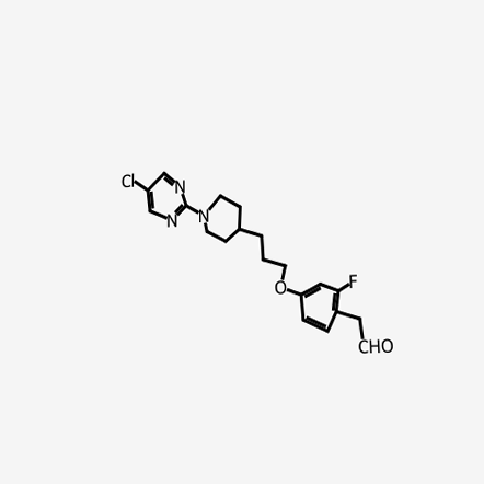 O=CCc1ccc(OCCCC2CCN(c3ncc(Cl)cn3)CC2)cc1F